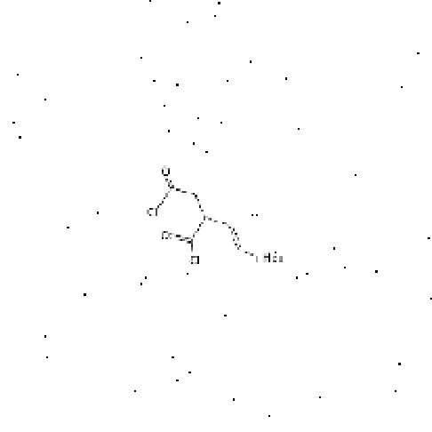 CCCCCCC=CC(CC(=O)Cl)C(=O)Cl